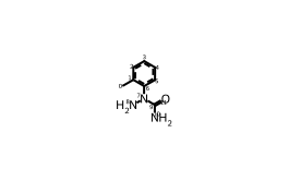 Cc1ccccc1N(N)C(N)=O